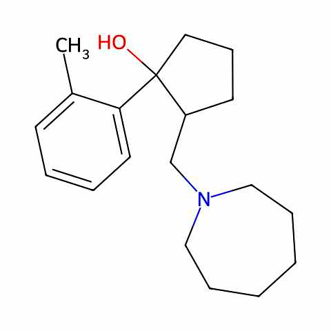 Cc1ccccc1C1(O)CCCC1CN1CCCCCC1